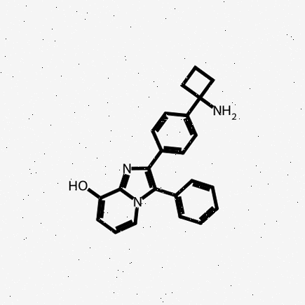 NC1(c2ccc(-c3nc4c(O)cccn4c3-c3ccccc3)cc2)CCC1